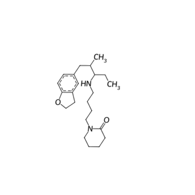 CCC(NCCCCN1CCCCC1=O)C(C)Cc1ccc2c(c1)CCO2